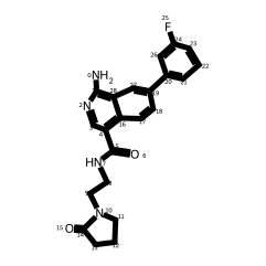 Nc1ncc(C(=O)NCCN2CCCC2=O)c2ccc(-c3cccc(F)c3)cc12